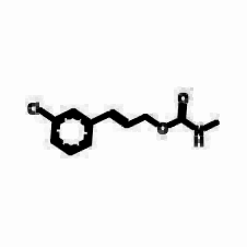 CNC(=O)OC/C=C/c1cccc(Cl)c1